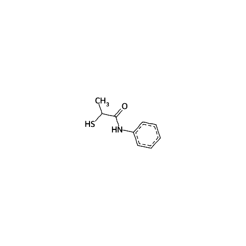 CC(S)C(=O)Nc1ccccc1